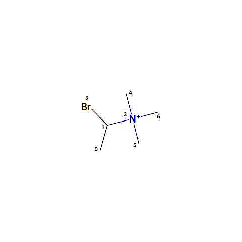 CC(Br)[N+](C)(C)C